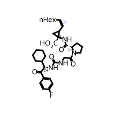 CCCCCC/C=C\C1C[C@]1(NC(=O)[C@@H]1CCCN1C(=O)CNC(=O)N[C@H](C(=O)c1ccc(F)cc1)C1CCCCC1)C(=O)O